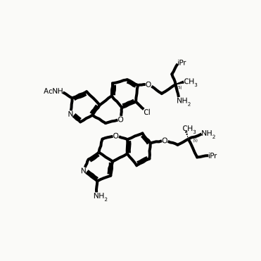 CC(=O)Nc1cc2c(cn1)COc1c-2ccc(OC[C@@](C)(N)CC(C)C)c1Cl.CC(C)C[C@](C)(N)COc1ccc2c(c1)OCc1cnc(N)cc1-2